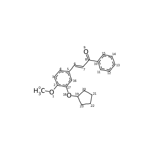 COc1ccc(/C=C/C(=O)c2ccccc2)cc1OC1CCCC1